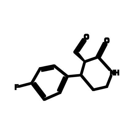 O=C[C@H]1C(=O)NCCC1c1ccc(F)cc1